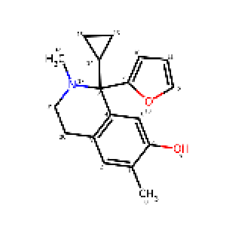 Cc1cc2c(cc1O)C(c1ccco1)(C1CC1)N(C)CC2